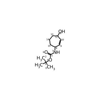 CC(C)(C)OC(=O)NC1C=CC(O)CCC1